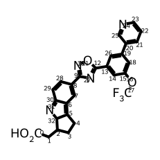 O=C(O)CC1CCC2=c3cc(-c4noc(-c5cc(OC(F)(F)F)cc(-c6cccnc6)c5)n4)ccc3=NC21